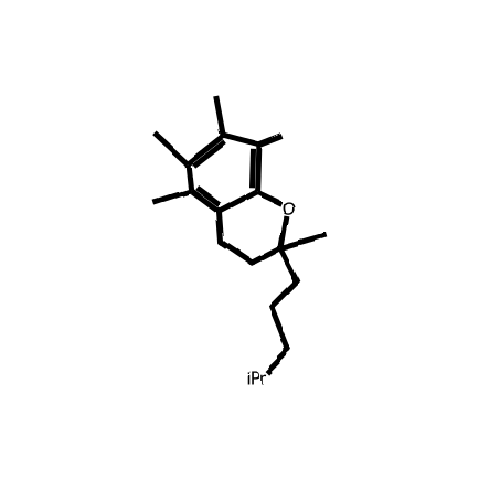 Cc1c(C)c(C)c2c(c1C)CCC(C)(CCCC(C)C)O2